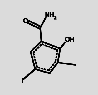 Cc1cc(I)cc(C(N)=O)c1O